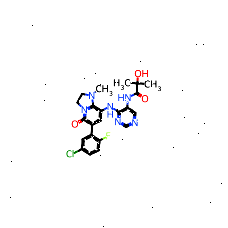 CN1CCn2c1c(Nc1ncncc1NC(=O)C(C)(C)O)cc(-c1cc(Cl)ccc1F)c2=O